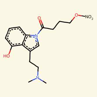 CN(C)CCc1cn(C(=O)CCCO[N+](=O)[O-])c2cccc(O)c12